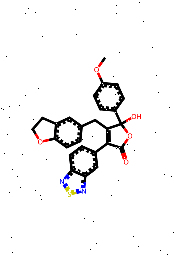 COc1ccc(C2(O)OC(=O)C(c3ccc4nsnc4c3)=C2Cc2ccc3c(c2)CCO3)cc1